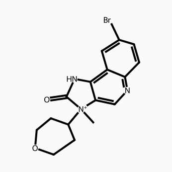 C[N+]1(C2CCOCC2)C(=O)Nc2c1cnc1ccc(Br)cc21